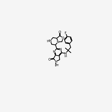 CC(C)N1Cc2c(NC(C)(C)Cc3ccc(F)cc3)nc(C3CNCC4C(=O)OCN43)nc2C1=O